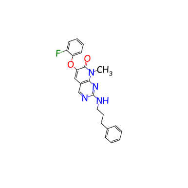 Cn1c(=O)c(Oc2ccccc2F)cc2cnc(NCCCc3ccccc3)nc21